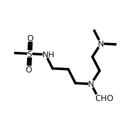 CN(C)CCN(C=O)CCCNS(C)(=O)=O